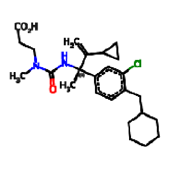 C=C(C1CC1)[C@@](C)(NC(=O)N(C)CCC(=O)O)c1ccc(CC2CCCCC2)c(Cl)c1